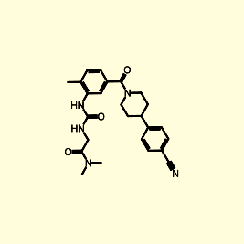 Cc1ccc(C(=O)N2CCC(c3ccc(C#N)cc3)CC2)cc1NC(=O)NCC(=O)N(C)C